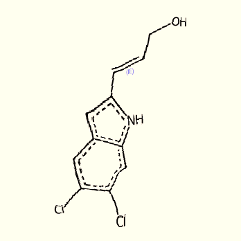 OC/C=C/c1cc2cc(Cl)c(Cl)cc2[nH]1